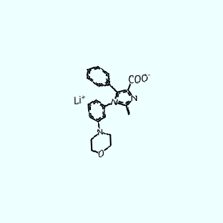 Cc1nc(C(=O)[O-])c(-c2ccccc2)n1-c1cccc(N2CCOCC2)c1.[Li+]